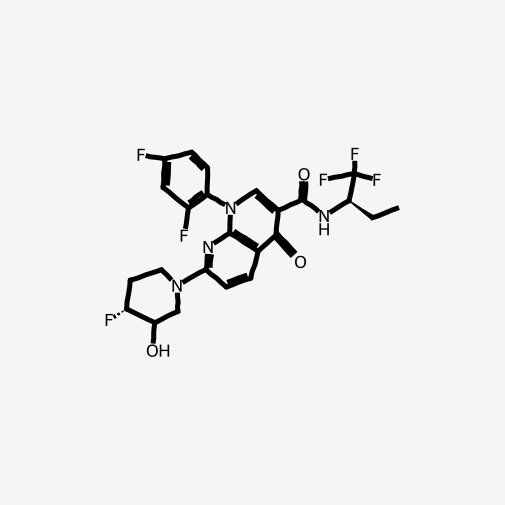 CC[C@@H](NC(=O)c1cn(-c2ccc(F)cc2F)c2nc(N3CC[C@@H](F)C(O)C3)ccc2c1=O)C(F)(F)F